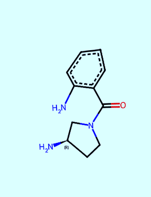 Nc1ccccc1C(=O)N1CC[C@@H](N)C1